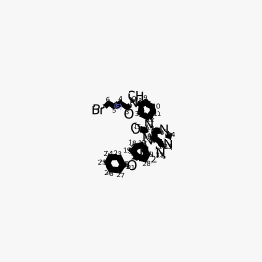 CN(C(=O)/C=C/CBr)c1cccc(-n2c(=O)n(-c3ccc(Oc4ccccc4)cc3)c3c(N)ncnc32)c1